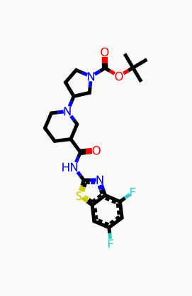 CC(C)(C)OC(=O)N1CCC(N2CCCC(C(=O)Nc3nc4c(F)cc(F)cc4s3)C2)C1